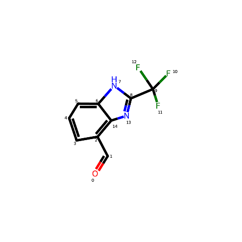 O=Cc1cccc2[nH]c(C(F)(F)F)nc12